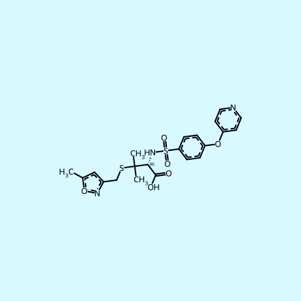 Cc1cc(CSC(C)(C)[C@H](NS(=O)(=O)c2ccc(Oc3ccncc3)cc2)C(=O)O)no1